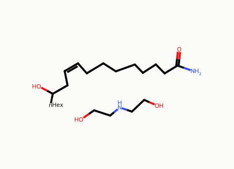 CCCCCCC(O)C/C=C\CCCCCCCC(N)=O.OCCNCCO